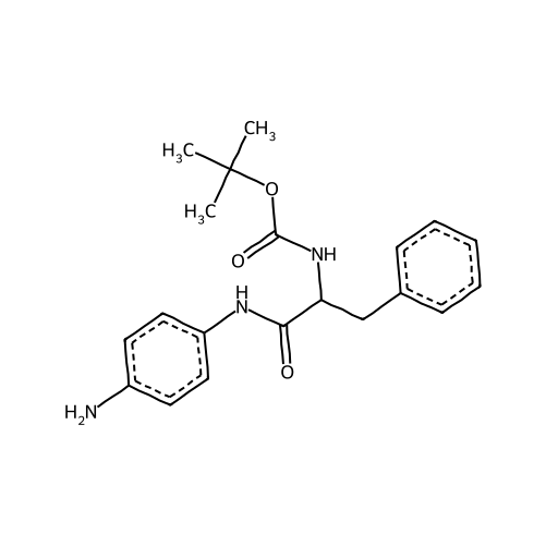 CC(C)(C)OC(=O)NC(Cc1ccccc1)C(=O)Nc1ccc(N)cc1